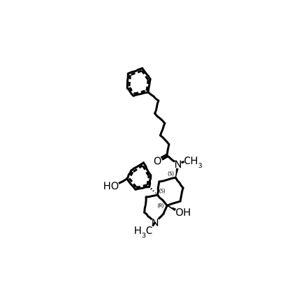 CN1CC[C@@]2(c3cccc(O)c3)C[C@@H](N(C)C(=O)CCCCCc3ccccc3)CC[C@]2(O)C1